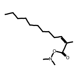 CCCCCCCCCC=C(C)C(=O)ON(C)C